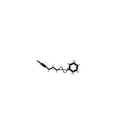 CC#CCCCOOc1ccccc1